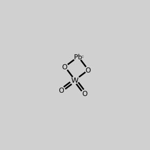 [O]=[W]1(=[O])[O][Pb][O]1